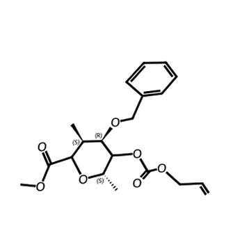 C=CCOC(=O)OC1[C@H](C)OC(C(=O)OC)[C@@H](C)[C@H]1OCc1ccccc1